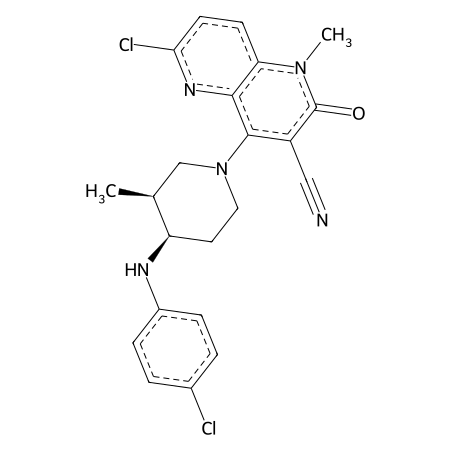 C[C@H]1CN(c2c(C#N)c(=O)n(C)c3ccc(Cl)nc23)CC[C@H]1Nc1ccc(Cl)cc1